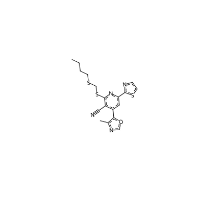 CCCCSCSc1nc(-c2nccs2)cc(-c2ocnc2C)c1C#N